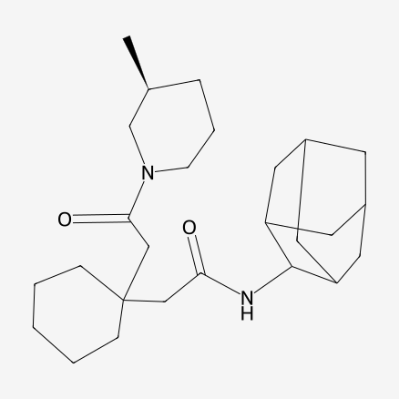 C[C@H]1CCCN(C(=O)CC2(CC(=O)NC3C4CC5CC(C4)CC3C5)CCCCC2)C1